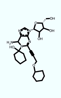 NC1c2ncn([C@@H]3O[C@H](CO)C(O)C3O)c2N=C(C#CCOC2CCCCC2)N1C1(O)CCCCC1